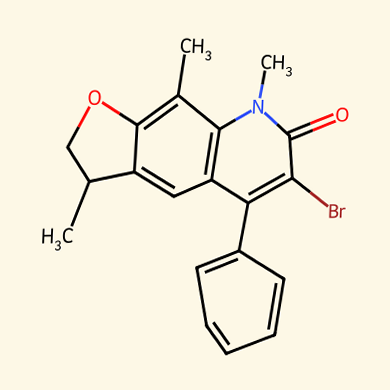 Cc1c2c(cc3c(-c4ccccc4)c(Br)c(=O)n(C)c13)C(C)CO2